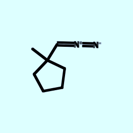 CC1(C=[N+]=[N-])CCCC1